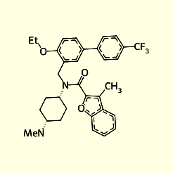 CCOc1ccc(-c2ccc(C(F)(F)F)cc2)cc1CN(C(=O)c1oc2ccccc2c1C)[C@H]1CC[C@@H](NC)CC1